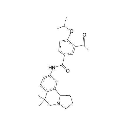 CC(=O)c1cc(C(=O)Nc2ccc3c(c2)C2CCCN2CC3(C)C)ccc1OC(C)C